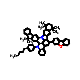 CCCCCc1ccc(N2B3c4cc5c(cc4-n4c6cc7c(cc6c6c(-c8ccc9c(c8)oc8ccccc89)cc(c3c64)-c3ccccc32)C(C)(C)CCC7(C)C)-c2ccccc2C5(C)C)cc1